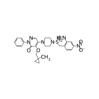 CC1(COc2c(N3CCN([S+]([O-])Cc4ccc([N+](=O)[O-])cc4N)CC3)cnn(-c3ccccc3)c2=O)CC1